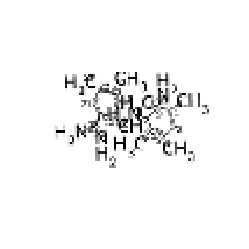 CC1=CC(C)=C(C)C(N)C1(C)N.Cc1cc(C)c(C(N)N)cc1C